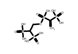 C=C(P(=O)(O)O)P(=O)(O)OCC(P(=O)(O)O)P(=O)(O)O